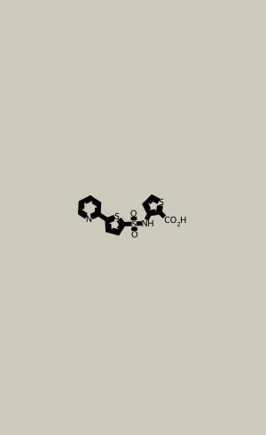 O=C(O)c1sccc1NS(=O)(=O)c1ccc(-c2ccccn2)s1